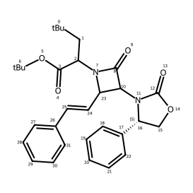 CC(C)(C)CC(C(=O)OC(C)(C)C)N1C(=O)C(N2C(=O)OC[C@@H]2c2ccccc2)C1C=Cc1ccccc1